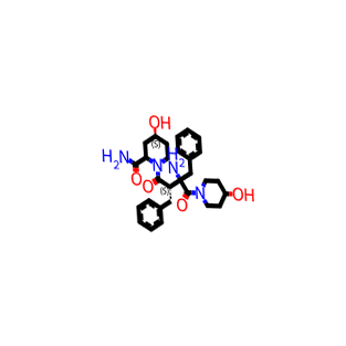 NC(=O)C1C[C@@H](O)CCN1C(=O)[C@@H](Cc1ccccc1)C(N)(Cc1ccccc1)C(=O)N1CCC(O)CC1